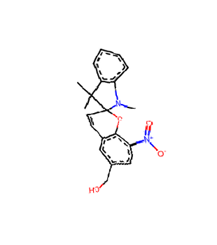 CN1c2ccccc2C(C)(C)C12C=Cc1cc(CO)cc([N+](=O)[O-])c1O2